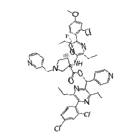 CCc1nc(-c2ccc(OC)cc2Cl)c(CC)nc1N[C@]1(C(=O)OC(c2ccncc2)c2nc(CC)c(-c3ccc(Cl)cc3Cl)nc2CC)CN(Cc2cccnc2)C[C@@H]1OCCF